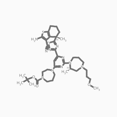 COCCCN1CCCN(c2nc(-c3noc([C@@]4(C)CCCc5sc(N)c(C#N)c54)n3)cc(N3CCCN(C(=O)OC(C)(C)C)CC3)n2)[C@@H](C)C1